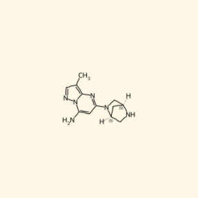 Cc1cnn2c(N)cc(N3C[C@@H]4C[C@H]3CN4)nc12